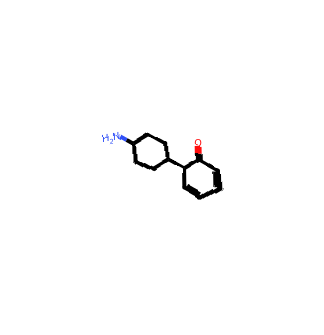 NC1CCC(C2C=CC=CC2=O)CC1